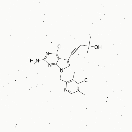 Cc1cnc(Cn2cc(C#CCC(C)(C)O)c3c(Cl)nc(N)nc32)c(C)c1Cl